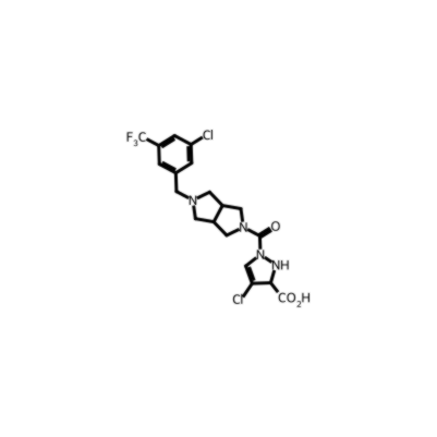 O=C(O)C1NN(C(=O)N2CC3CN(Cc4cc(Cl)cc(C(F)(F)F)c4)CC3C2)C=C1Cl